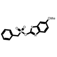 COc1ccc2nc(OS(=O)(=O)Cc3ccccc3)sc2c1